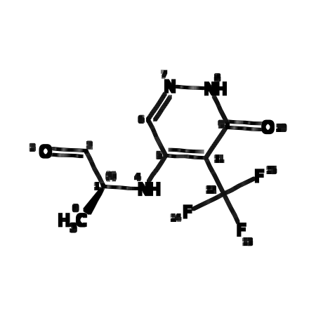 C[C@@H](C=O)Nc1cn[nH]c(=O)c1C(F)(F)F